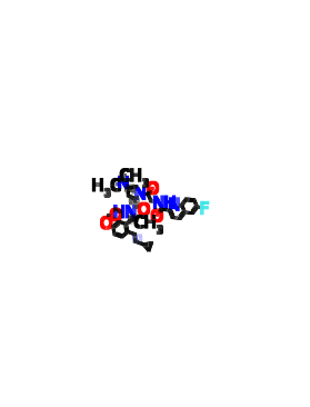 C[C@H](NC(=O)[C@@H]1C[C@@H](N(C)C)CN1C(=O)CNC(=O)c1ccc2cc(F)ccc2n1)c1c(/C=C/C2CC2)ccc2c1OCO2